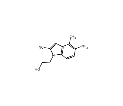 Cc1c(N)ccc2c1cc(C#N)n2CCO